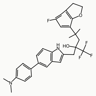 CN(C)c1ccc(-c2ccc3[nH]c(CC(O)(CC(C)(C)c4cc(F)cc5c4OCC5)C(F)(F)F)cc3c2)cc1